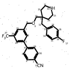 N#Cc1ccc(-c2cc(COCC3(Cc4ccc(F)cc4)CCNCC3)cc(C(F)(F)F)c2)cc1